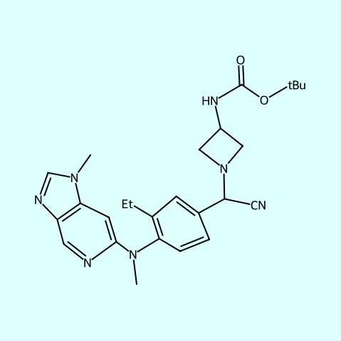 CCc1cc(C(C#N)N2CC(NC(=O)OC(C)(C)C)C2)ccc1N(C)c1cc2c(cn1)ncn2C